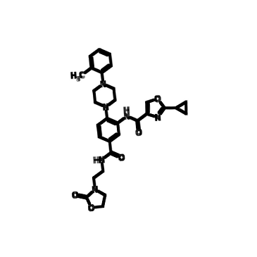 Cc1ccccc1N1CCN(c2ccc(C(=O)NCCN3CCOC3=O)cc2NC(=O)c2coc(C3CC3)n2)CC1